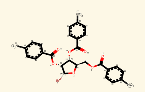 O=C(OC[C@H]1O[C@H](Br)[C@H](OC(=O)c2ccc([N+](=O)[O-])cc2)[C@@H]1OC(=O)c1ccc([N+](=O)[O-])cc1)c1ccc([N+](=O)[O-])cc1